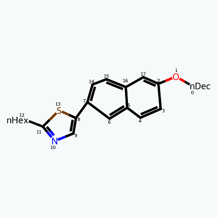 CCCCCCCCCCOc1ccc2cc(-c3cnc(CCCCCC)s3)ccc2c1